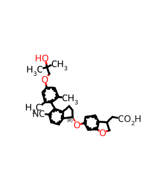 Cc1cc(OCC(C)(C)O)cc(C)c1-c1c(C#N)ccc2c1CC[C@H]2Oc1ccc2c(c1)OCC2CC(=O)O